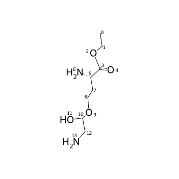 CCOC(=O)[C@@H](N)CCOC(O)CN